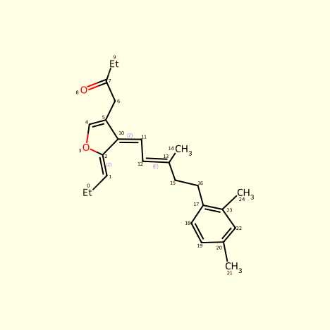 CC\C=c1/occ(CC(=O)CC)/c1=C/C=C(\C)CCc1ccc(C)cc1C